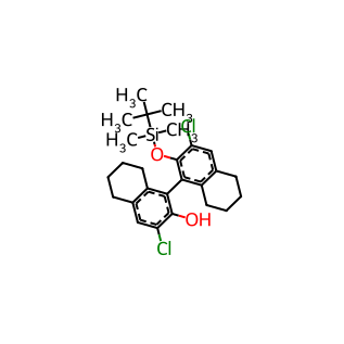 CC(C)(C)[Si](C)(C)Oc1c(Cl)cc2c(c1-c1c(O)c(Cl)cc3c1CCCC3)CCCC2